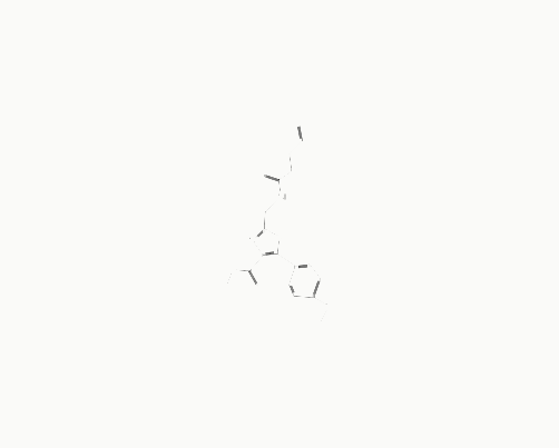 C=CCCC(=O)NCc1nc(C(=O)OC)c(-c2ccc(SC)cc2)s1